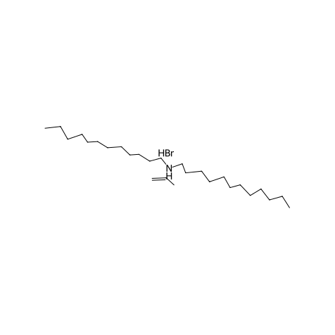 Br.C=CC.CCCCCCCCCCCCNCCCCCCCCCCCC